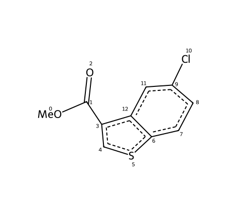 COC(=O)c1csc2ccc(Cl)cc12